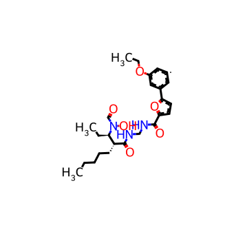 CCCCC[C@@H](C(=O)NCNC(=O)c1ccc(-c2c[c]cc(OCC)c2)o1)[C@@H](CC)N(O)C=O